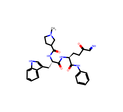 CN1CCC(C(=O)N[C@@H](Cc2c[nH]c3ccccc23)C(=O)N[C@@H](CCC(=O)C=N)C(=O)Nc2ccccc2)C1